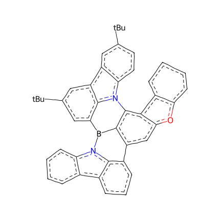 CC(C)(C)c1ccc2c(c1)c1cc(C(C)(C)C)cc3c1n2-c1c2c(cc4oc5ccccc5c14)-c1cccc4c5ccccc5n(c14)B23